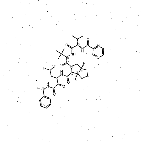 CC(C)[C@@H](NC(=O)c1cnccn1)C(=O)N[C@H](C(=O)N1C[C@@H]2CCC[C@@H]2[C@H]1C(=O)NC(CC(F)F)C(=O)C(=O)N[C@@H](C)c1ccccc1)C(C)(C)C